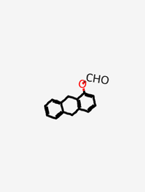 O=COc1cccc2c1Cc1ccccc1C2